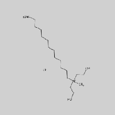 CCCCCCCCCCCCCCCCCCCCCC[N+](C)(CCO)CCO.[Cl-]